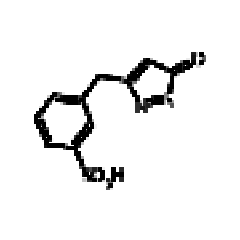 O=C1C=C(Cc2cccc(S(=O)(=O)O)c2)N=N1